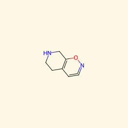 C1=CC2=C(CNCC2)ON=1